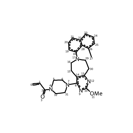 C=CC(=O)N1CCN(c2nc(OC)nc3c2CCN(c2cccc4cccc(C)c24)CC3)CC1